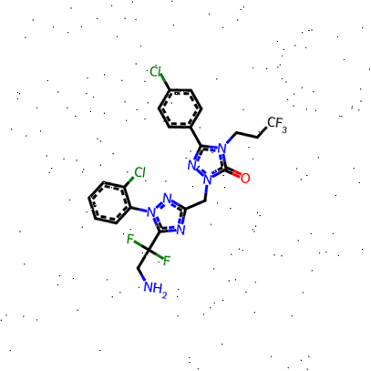 NCC(F)(F)c1nc(Cn2nc(-c3ccc(Cl)cc3)n(CCC(F)(F)F)c2=O)nn1-c1ccccc1Cl